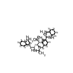 C=C(NCCc1c[nH]c2ccccc12)N(CCN(C)C)Cc1ccc(C(=O)Nc2ccccc2N)nc1